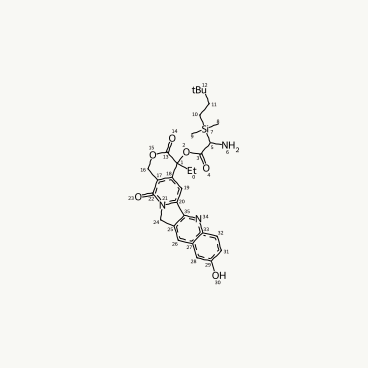 CCC1(OC(=O)C(N)[Si](C)(C)CCC(C)(C)C)C(=O)OCc2c1cc1n(c2=O)Cc2cc3cc(O)ccc3nc2-1